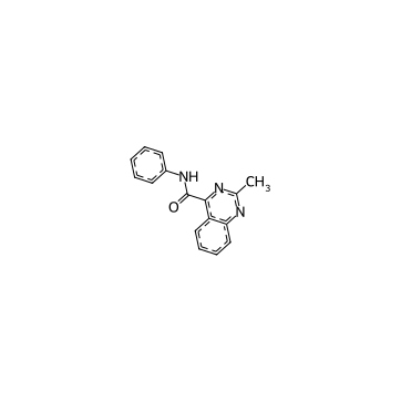 Cc1nc(C(=O)Nc2ccccc2)c2ccccc2n1